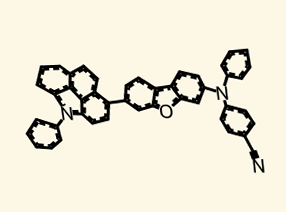 N#Cc1ccc(N(c2ccccc2)c2ccc3c(c2)oc2cc(-c4ccc5c6c4ccc4cccc(c46)n5-c4ccccc4)ccc23)cc1